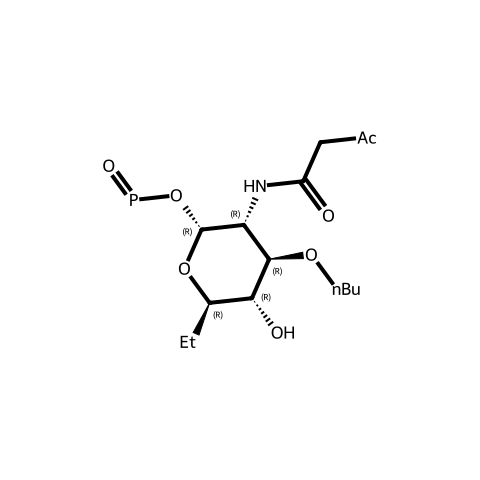 CCCCO[C@H]1[C@H](O)[C@@H](CC)O[C@H](OP=O)[C@@H]1NC(=O)CC(C)=O